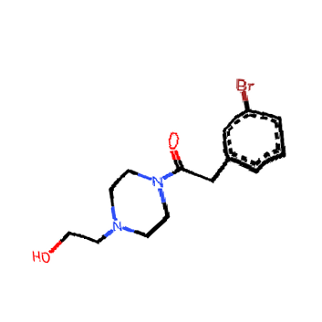 O=C(Cc1cccc(Br)c1)N1CCN(CCO)CC1